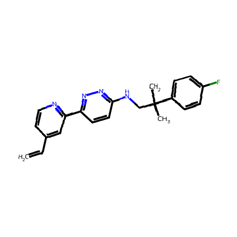 C=Cc1ccnc(-c2ccc(NCC(C)(C)c3ccc(F)cc3)nn2)c1